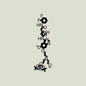 COCCN(CCCOc1cc2ncnc(Nc3cc(CC(=O)Nc4cccc(F)c4F)[nH]n3)c2cc1OC)CCOP(=O)(OC(C)(C)C)OC(C)(C)C